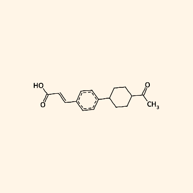 CC(=O)C1CCC(c2ccc(C=CC(=O)O)cc2)CC1